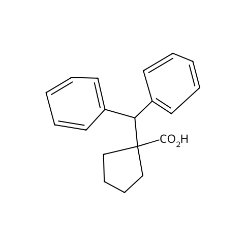 O=C(O)C1(C(c2ccccc2)c2ccccc2)CCCC1